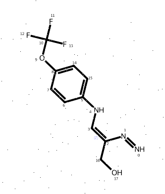 N=N/C(=C\Nc1ccc(OC(F)(F)F)cc1)CO